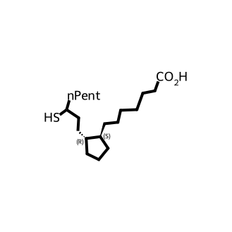 CCCCCC(S)CC[C@H]1CCC[C@@H]1CCCCCCC(=O)O